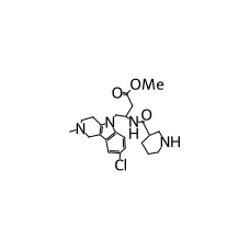 COC(=O)CC(Cn1c2c(c3cc(Cl)ccc31)CN(C)CC2)NC(=O)C1CCCNC1